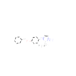 Cc1cc(OCc2ccccc2)ccc1N1C=CNC1C(C)C